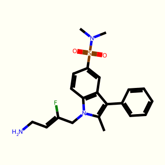 Cc1c(-c2ccccc2)c2cc(S(=O)(=O)N(C)C)ccc2n1CC(F)=CCN